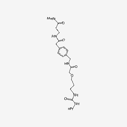 CCCNC(=O)NCCCOCC(=O)NCc1ccc(CC(=O)NCCC(=O)NC)cc1